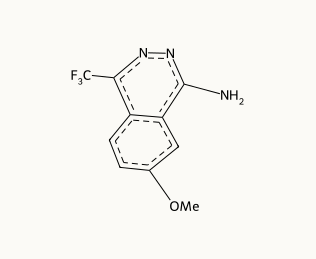 COc1ccc2c(C(F)(F)F)nnc(N)c2c1